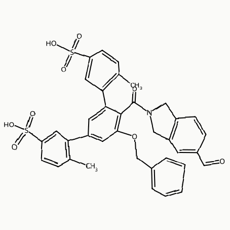 Cc1ccc(S(=O)(=O)O)cc1-c1cc(OCc2ccccc2)c(C(=O)N2Cc3ccc(C=O)cc3C2)c(-c2cc(S(=O)(=O)O)ccc2C)c1